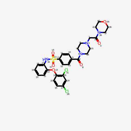 O=C(CN1CCN(C(=O)c2ccc(S(=O)(=O)Nc3ccccc3Oc3ccc(Cl)cc3Cl)cc2)CC1)N1CCOCC1